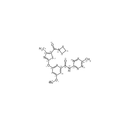 CCC(C)Oc1cc(Oc2nc(C)c(C(=O)N3CCC3)s2)cc(C(=O)Nc2cnc(C)cn2)c1